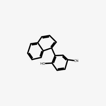 N#Cc1ccc(O)c(-c2cccc3ccccc23)c1